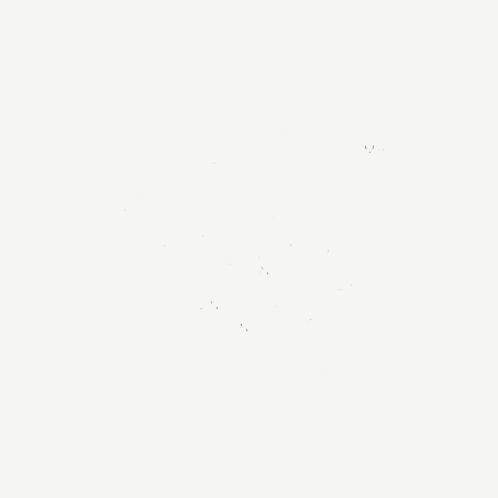 COc1ccc(-n2c(SCC(=O)O)nnc2C(F)F)c2c1CCCC2